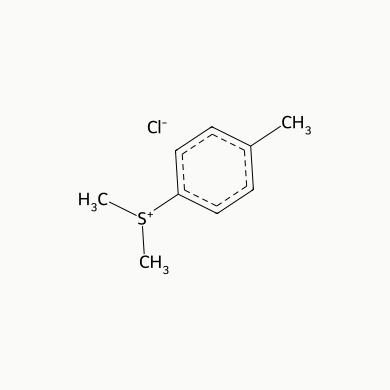 Cc1ccc([S+](C)C)cc1.[Cl-]